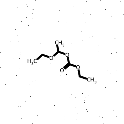 C[CH]OC(=O)OC(C)OCC